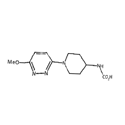 COc1ccc(N2CCC(NC(=O)O)CC2)nn1